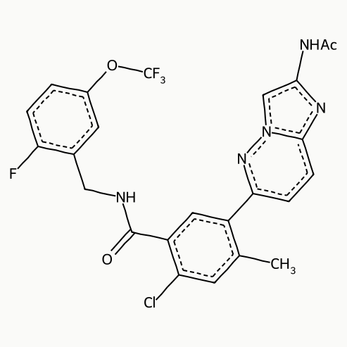 CC(=O)Nc1cn2nc(-c3cc(C(=O)NCc4cc(OC(F)(F)F)ccc4F)c(Cl)cc3C)ccc2n1